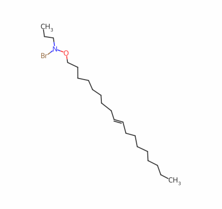 CCCCCCCCC=CCCCCCCCCON(Br)CCC